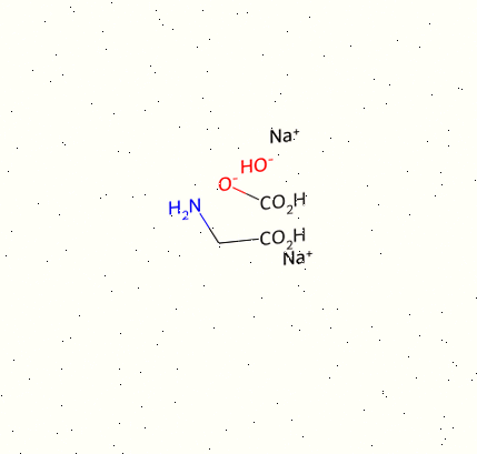 NCC(=O)O.O=C([O-])O.[Na+].[Na+].[OH-]